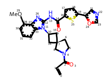 C=CC(=O)N1CC[C@]2(C1)C[C@H](n1c(NC(=O)c3ccc(-c4cnco4)s3)nc3c(OC)cccc31)C2